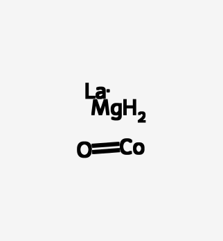 [La].[MgH2].[O]=[Co]